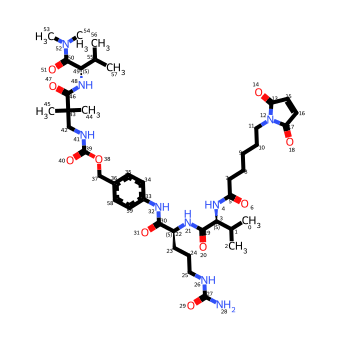 CC(C)[C@H](NC(=O)CCCCCN1C(=O)C=CC1=O)C(=O)N[C@@H](CCCNC(N)=O)C(=O)Nc1ccc(COC(=O)NCC(C)(C)C(=O)N[C@H](C(=O)N(C)C)C(C)C)cc1